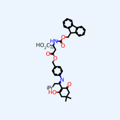 CC(C)CC(=Nc1ccc(COC(=O)C[C@H](NC(=O)OCC2c3ccccc3-c3ccccc32)C(=O)O)cc1)C1=C(O)CC(C)(C)CC1=O